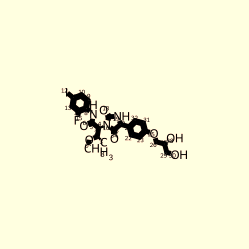 CO[C@H](C)[C@@H](C(=O)Nc1ccc(I)cc1F)N1C(=O)NC(c2ccc(OCC(O)CO)cc2)C1=O